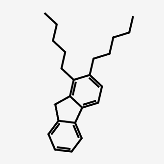 CCCCCc1ccc2c(c1CCCCC)[CH]c1ccccc1-2